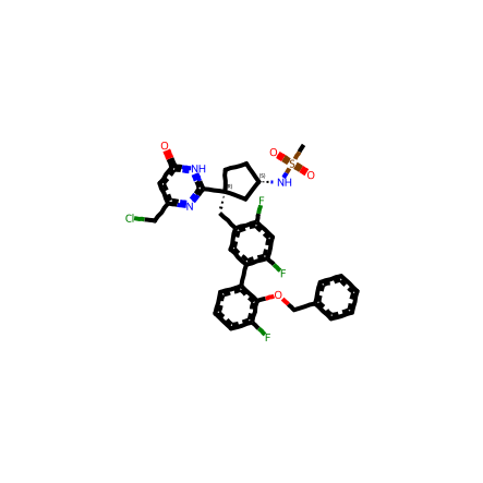 CS(=O)(=O)N[C@H]1CC[C@](Cc2cc(-c3cccc(F)c3OCc3ccccc3)c(F)cc2F)(c2nc(CCl)cc(=O)[nH]2)C1